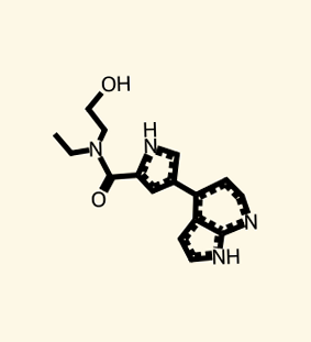 CCN(CCO)C(=O)c1cc(-c2ccnc3[nH]ccc23)c[nH]1